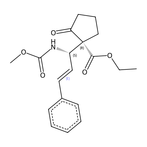 CCOC(=O)[C@@]1([C@H](/C=C/c2ccccc2)NC(=O)OC)CCCC1=O